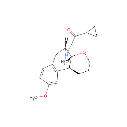 COc1ccc2c(c1)[C@@]13CCCO[C@@]1(C)[C@@H](C2)N(C(=O)C1CC1)CC3